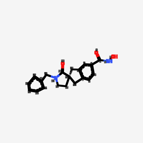 O=C(NO)c1ccc2c(c1)C[C@@]1(CCN(Cc3ccccc3)C1=O)C2